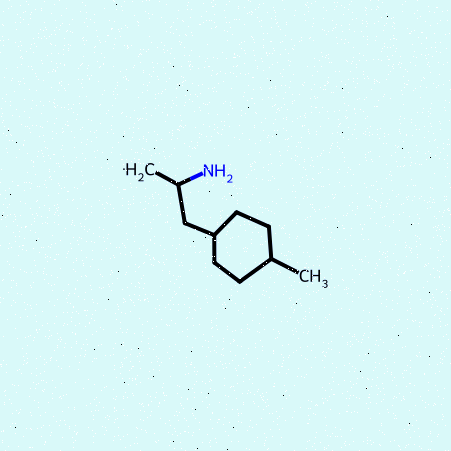 [CH2]C(N)CC1CCC(C)CC1